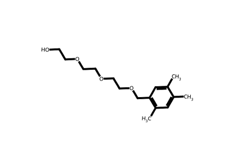 Cc1cc(C)c(COCCOCCOCCO)cc1C